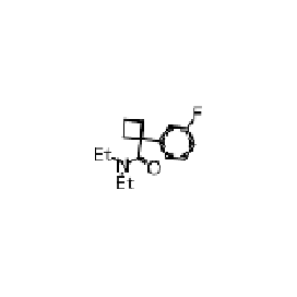 CCN(CC)C(=O)C1(c2cccc(F)c2)CCC1